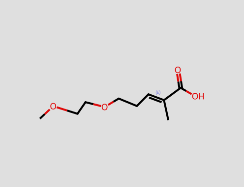 COCCOCC/C=C(\C)C(=O)O